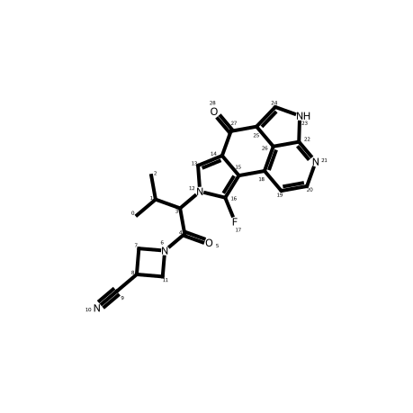 CC(C)C(C(=O)N1CC(C#N)C1)n1cc2c(c1F)-c1ccnc3[nH]cc(c13)C2=O